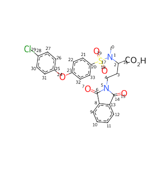 CN(C(CCN1C(=O)c2ccccc2C1=O)C(=O)O)S(=O)(=O)c1ccc(Oc2ccc(Cl)cc2)cc1